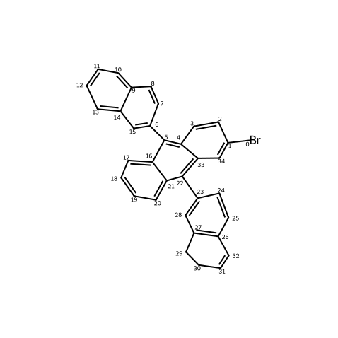 Brc1ccc2c(-c3ccc4ccccc4c3)c3ccccc3c(-c3ccc4c(c3)CCC=C4)c2c1